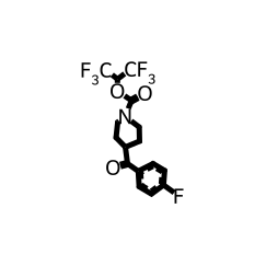 O=C(c1ccc(F)cc1)C1CCN(C(=O)OC(C(F)(F)F)C(F)(F)F)CC1